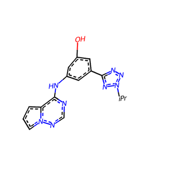 CC(C)n1nnc(-c2cc(O)cc(Nc3ncnn4cccc34)c2)n1